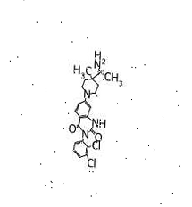 C[C@@H](N)C1(C)CCN(c2ccc3c(=O)n(-c4cccc(Cl)c4Cl)c(=O)[nH]c3c2)CC1